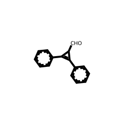 O=CC1C(c2ccccc2)=C1c1ccccc1